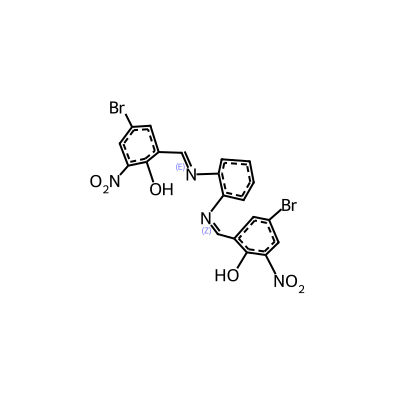 O=[N+]([O-])c1cc(Br)cc(/C=N\c2ccccc2/N=C/c2cc(Br)cc([N+](=O)[O-])c2O)c1O